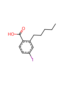 CCCCCc1cc(I)ccc1C(=O)O